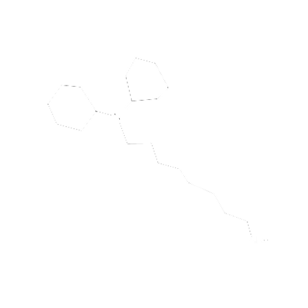 CCCCCCCCCCCCCCCCCCN(C1CCCCC1)C1CCCCC1